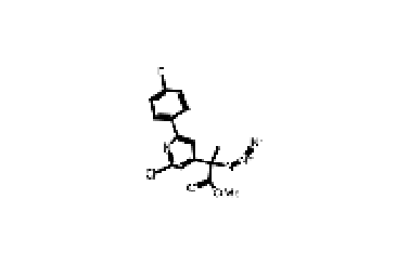 COC(=O)C(C)(N=[N+]=[N-])c1cc(Cl)nc(-c2ccc(F)cc2)c1